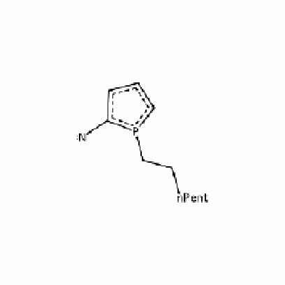 CCCCCCCp1cccc1[N]